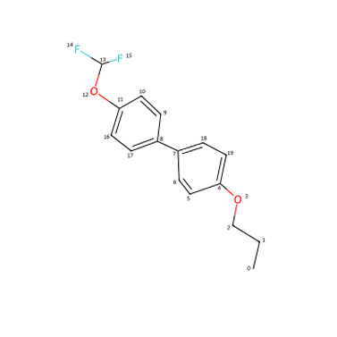 CCCOc1ccc(-c2ccc(OC(F)F)cc2)cc1